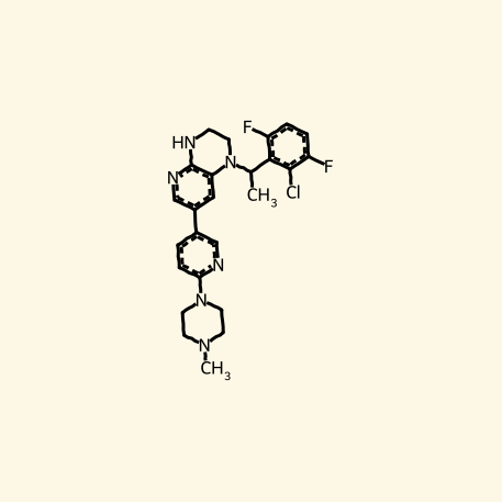 CC(c1c(F)ccc(F)c1Cl)N1CCNc2ncc(-c3ccc(N4CCN(C)CC4)nc3)cc21